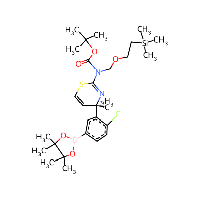 CC(C)(C)OC(=O)N(COCC[Si](C)(C)C)C1=N[C@](C)(c2cc(B3OC(C)(C)C(C)(C)O3)ccc2F)C=CS1